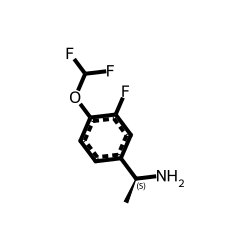 C[C@H](N)c1ccc(OC(F)F)c(F)c1